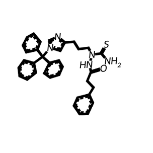 NC(=S)N(CCCc1cn(C(c2ccccc2)(c2ccccc2)c2ccccc2)cn1)NC(=O)CCc1ccccc1